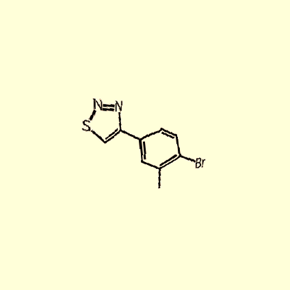 Cc1cc(-c2csnn2)ccc1Br